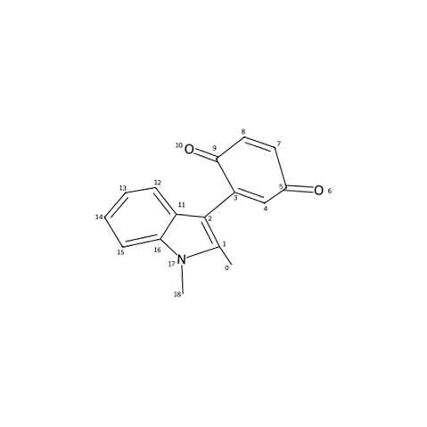 Cc1c(C2=CC(=O)C=CC2=O)c2ccccc2n1C